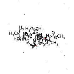 COC(=O)c1nc(-c2nc3oc2C24c5ccccc5N[C@H]2Oc2ccc(cc24)CC(NC(=O)[C@@H](O)C(C)C)C(=O)N[C@H]3C(C)C)oc1C